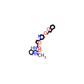 CNC(=O)C(NC(=O)c1ccc(-c2ccc(OCc3cc4ccccc4o3)cn2)o1)C1CCCCC1